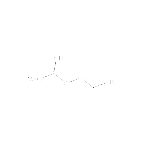 CCCCSOP(O)OC